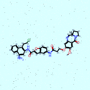 COc1cc2c(cc1OCCC(=O)Nc1ccc3oc(C(=O)Nc4cc(N)c5ccccc5c4CCCl)cc3c1)N=C[C@@H]1CCCN1C2=O